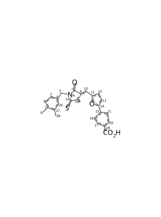 Cc1ccc(CN2C(=O)C(=Cc3ccc(-c4ccc(C(=O)O)cc4)o3)SC2=S)cc1C